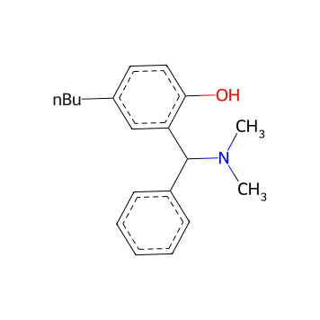 CCCCc1ccc(O)c(C(c2ccccc2)N(C)C)c1